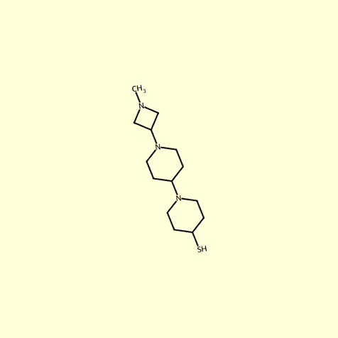 CN1CC(N2CCC(N3CCC(S)CC3)CC2)C1